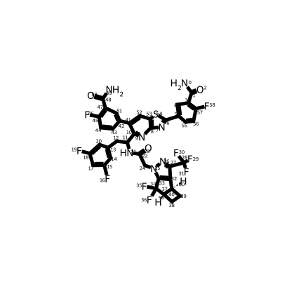 NC(=O)c1cc(-c2nc3nc(C(Cc4cc(F)cc(F)c4)NC(=O)Cn4nc(C(F)(F)F)c5c4C(F)(F)[C@@H]4CC[C@H]54)c(-c4ccc(F)c(C(N)=O)c4)cc3s2)ccc1F